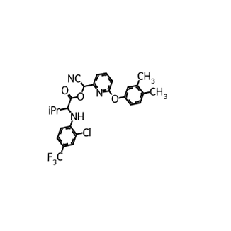 Cc1ccc(Oc2cccc(C(C#N)OC(=O)C(Nc3ccc(C(F)(F)F)cc3Cl)C(C)C)n2)cc1C